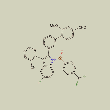 COc1cc(C=O)ccc1-c1cccc(-c2c(-c3ccccc3C#N)c3cc(F)ccc3n2[S+]([O-])c2ccc(C(F)F)cc2)c1